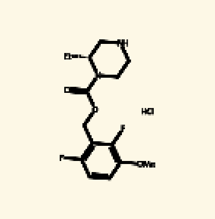 CC[C@@H]1CNCCN1C(=O)OCc1c(F)ccc(OC)c1F.Cl